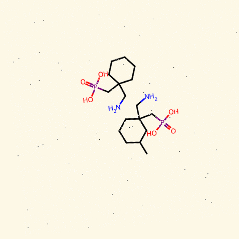 CC1CCCC(CN)(CP(=O)(O)O)C1.NCC1(CP(=O)(O)O)CCCCC1